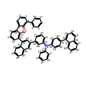 c1ccc(-c2cccc3c2oc2c(-c4cc(-c5cccc(N(c6ccccc6)c6ccc(-c7cccc8ccccc78)cc6)c5)cc5ccccc45)cccc23)cc1